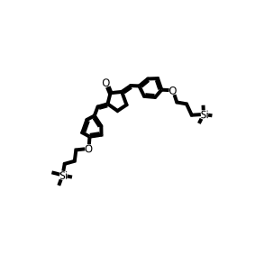 C[Si](C)(C)CCCOc1ccc(/C=C2\CC/C(=C\c3ccc(OCCC[Si](C)(C)C)cc3)C2=O)cc1